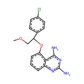 COCC(Oc1cccc2nc(N)nc(N)c12)c1ccc(Cl)cc1